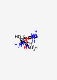 Cc1sc(N)nc1/C(=N/OC(COc1ccc(C(=N)N[C@H]2CCCNC2)cc1)C(=O)O)C(=O)N[C@@H]1C(=O)N(S(=O)(=O)O)[C@@H]1C